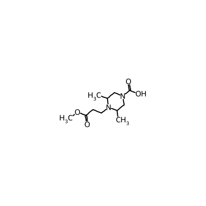 COC(=O)CCN1C(C)CN(C(=O)O)CC1C